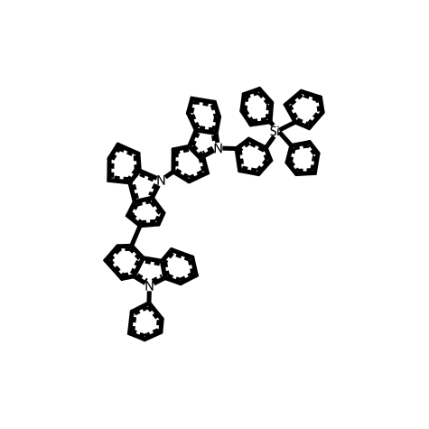 c1ccc(-n2c3ccccc3c3c(-c4ccc5c(c4)c4ccccc4n5-c4ccc5c(c4)c4ccccc4n5-c4cccc([Si](c5ccccc5)(c5ccccc5)c5ccccc5)c4)cccc32)cc1